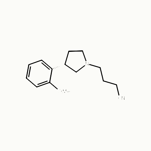 COc1ccccc1[C@@H]1CCN(CCCC#N)C1